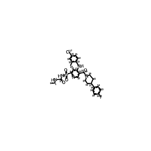 CCNC(=O)NS(=O)(=O)c1cc(Nc2ccc(Cl)cc2C)c(C(=O)N2CCC(c3ccc(F)cc3)CC2)cn1